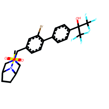 CS(=O)(=O)N1C2CCC1CN(Cc1ccc(-c3ccc(C(O)(C(F)(F)F)C(F)(F)F)cc3)c(Br)c1)C2